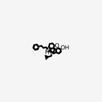 Oc1ccc2c3c1OC1CCC[C@@]4(OCCCc5ccccc5)[C@@H](C2)N(CC2CC2)CC[C@]314